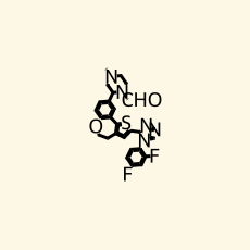 CN1CCN(C=O)C(c2ccc3c(c2)-c2sc(-c4nncn4-c4ccc(F)cc4F)cc2CCO3)C1